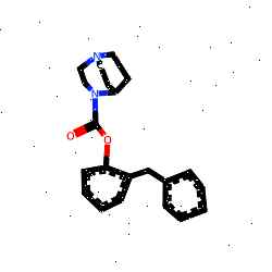 O=C(Oc1ccccc1Cc1ccccc1)N1CCN2CCC1CC2